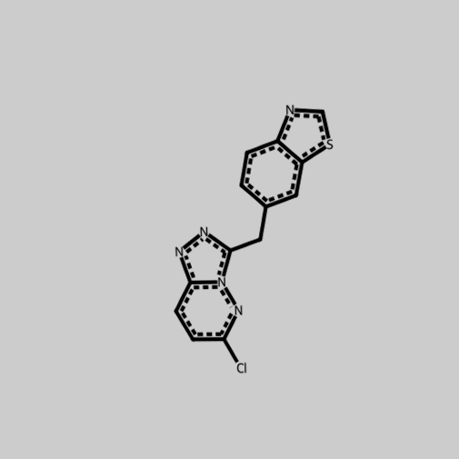 Clc1ccc2nnc(Cc3ccc4ncsc4c3)n2n1